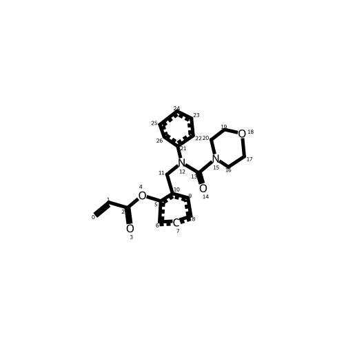 C=CC(=O)Oc1ccccc1CN(C(=O)N1CCOCC1)c1ccccc1